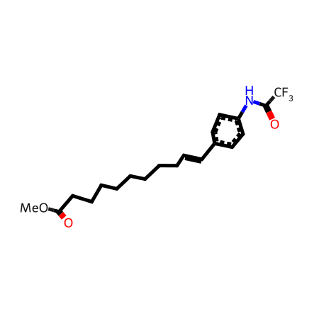 COC(=O)CCCCCCCC/C=C/c1ccc(NC(=O)C(F)(F)F)cc1